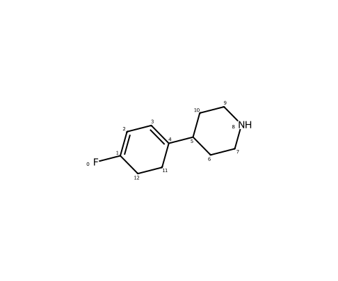 FC1=CC=C(C2CCNCC2)CC1